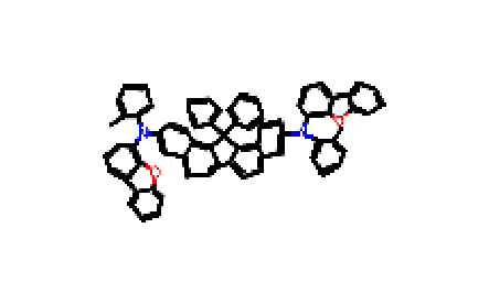 Cc1ccccc1N(c1ccc2c3c(ccc2c1)-c1ccc2cc(N(c4ccccc4C)c4cccc5c4oc4ccccc45)ccc2c1C3(c1ccccc1)c1ccccc1)c1cccc2c1oc1ccccc12